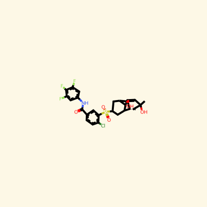 C[C@H]1CC2CC(S(=O)(=O)c3cc(C(=O)Nc4cc(F)c(F)c(F)c4)ccc3Cl)CC1[C@@]2(O)/C=C\C(C)(C)O